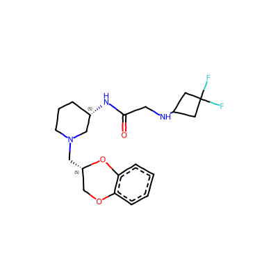 O=C(CNC1CC(F)(F)C1)N[C@H]1CCCN(C[C@H]2COc3ccccc3O2)C1